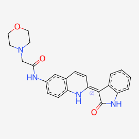 O=C(CN1CCOCC1)Nc1ccc2c(c1)C=C/C(=C1/C(=O)Nc3ccccc31)N2